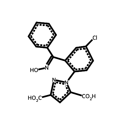 O=C(O)c1cc(C(=O)O)n(-c2ccc(Cl)cc2C(=NO)c2ccccc2)n1